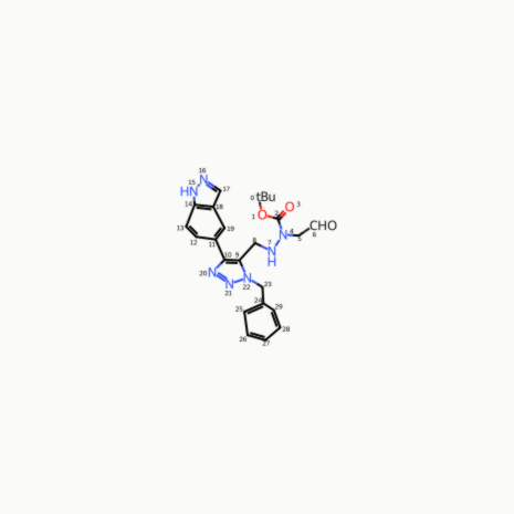 CC(C)(C)OC(=O)N(CC=O)NCc1c(-c2ccc3[nH]ncc3c2)nnn1Cc1ccccc1